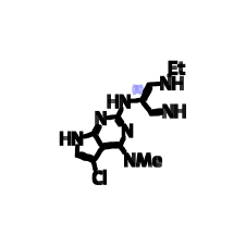 CCN/C=C(\C=N)Nc1nc(NC)c2c(Cl)c[nH]c2n1